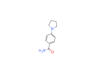 NC(=O)c1ccc(N2CCCC2)cc1